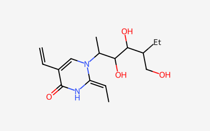 C=CC1=CN(C(C)C(O)C(O)C(CC)CO)C(=CC)NC1=O